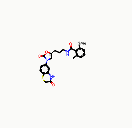 CNc1cccc(C)c1C(=O)NCCC[C@H]1CN(c2ccc3c(c2)NC(=O)CS3)C(=O)O1